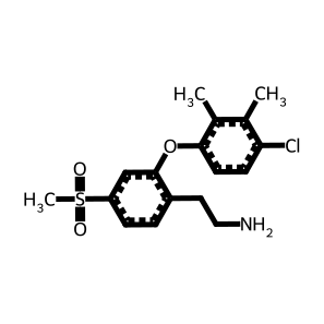 Cc1c(Cl)ccc(Oc2cc(S(C)(=O)=O)ccc2CCN)c1C